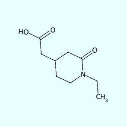 CCN1CCC(CC(=O)O)CC1=O